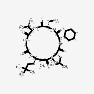 CC(C)C[C@H]1C(=O)N[C@@H](C2CCCCC2)C(=O)N[C@@H](CN)C(=O)N[C@@H]([C@H](C)O)C(=O)NCC(=O)O[C@H](CCC(C)(C)C)[C@@H](C)C(=O)N1C